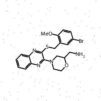 COc1ccc(Br)cc1CSc1nc2ccccc2nc1N1CCOC(CN)C1